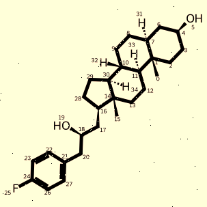 C[C@]12CC[C@H](O)C[C@@H]1CC[C@@H]1[C@@H]2CC[C@]2(C)[C@@H](C[C@H](O)Cc3ccc(F)cc3)CC[C@@H]12